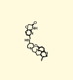 O=C1COc2ccc(CNC3CCN(CC4Cc5c(F)cnc6ccc(=O)n4c56)CC3)nc2N1